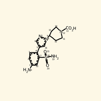 Nc1ccc(-c2cnn(C3CCN(C(=O)O)CC3)c2)c(S(N)(=O)=O)c1